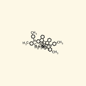 Cc1ccc(N(c2ccc3c4c(c5ccccc5c3c2)-c2c(cc(N(c3ccc(C)cc3)c3cc(C)ccc3C)c3ccccc23)C4([Si](C)(C)C)[Si](C)(C)C)c2cc(C)ccc2C)cc1